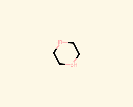 B1CCBCC1